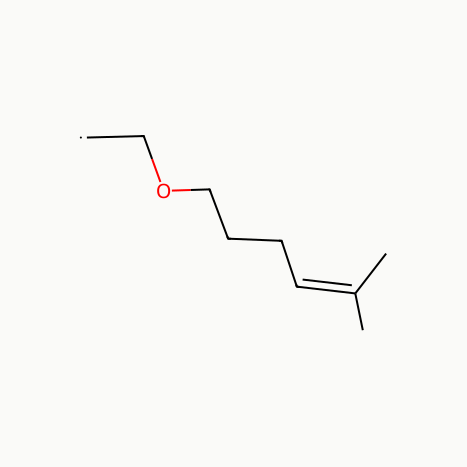 [CH2]COCCCC=C(C)C